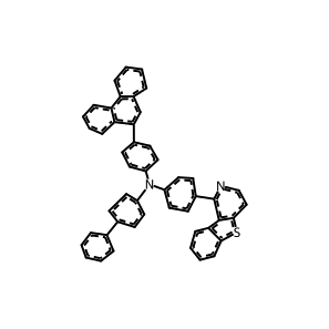 c1ccc(-c2ccc(N(c3ccc(-c4cc5ccccc5c5ccccc45)cc3)c3ccc(-c4nccc5sc6ccccc6c45)cc3)cc2)cc1